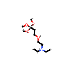 CCN(CC)CCOCC[Si](OC)(OC)OC